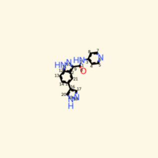 O=C(Nc1ccncc1)c1n[nH]c2ccc(-c3cn[nH]c3)cc12